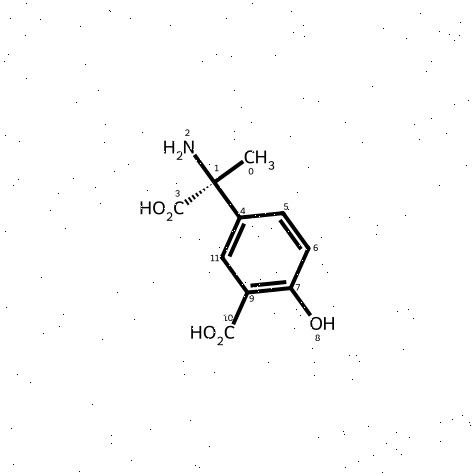 C[C@@](N)(C(=O)O)c1ccc(O)c(C(=O)O)c1